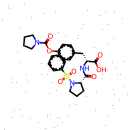 O=C(O)[C@@H](Cc1ccc(OC(=O)N2CCCC2)cc1)NC(=O)[C@@H]1CCCN1S(=O)(=O)c1ccccc1